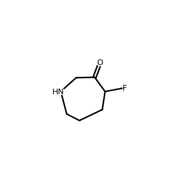 O=C1CNCCCC1F